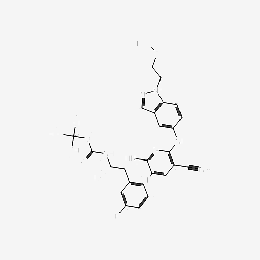 COCCn1ncc2cc(Nc3nc(N[C@H](c4cccc(F)c4)[C@H](C)NC(=O)OC(C)(C)C)c(F)cc3C#N)ccc21